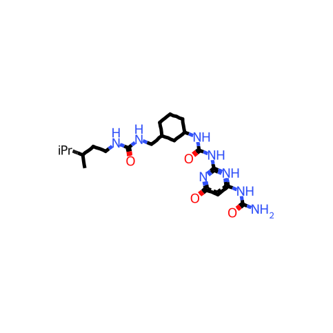 CC(C)C(C)CCNC(=O)NCC1CCCC(NC(=O)Nc2nc(=O)cc(NC(N)=O)[nH]2)C1